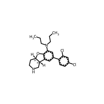 CCCN(CCC)c1cc(-c2ccc(Cl)cc2Cl)cc2c1O[C@H]1CCNC[C@@H]21